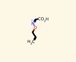 C=CCO/N=C\C(=O)O